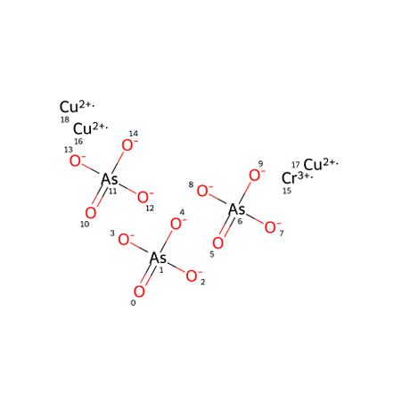 O=[As]([O-])([O-])[O-].O=[As]([O-])([O-])[O-].O=[As]([O-])([O-])[O-].[Cr+3].[Cu+2].[Cu+2].[Cu+2]